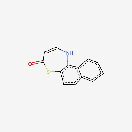 O=C1C=CNc2c(ccc3ccccc23)S1